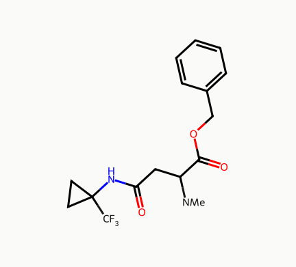 CNC(CC(=O)NC1(C(F)(F)F)CC1)C(=O)OCc1ccccc1